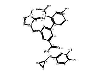 Cn1ccn(Cc2cc(C(=O)N[C@H](c3ccc(Cl)c(Cl)c3)C3CC3)cc(-c3ccc(F)cc3OC(F)F)c2)c1=N